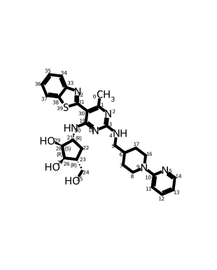 Cc1nc(NCC2CCN(c3ccccn3)CC2)nc(N[C@@H]2C[C@H](CO)[C@@H](O)[C@H]2O)c1-c1nc2ccccc2s1